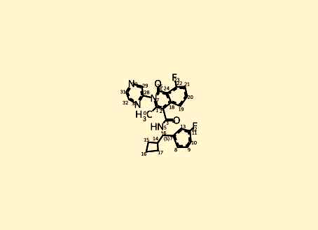 Cc1c(C(=O)N[C@H](c2cccc(F)c2)C2CCC2)c2cccc(F)c2c(=O)n1-c1cnccn1